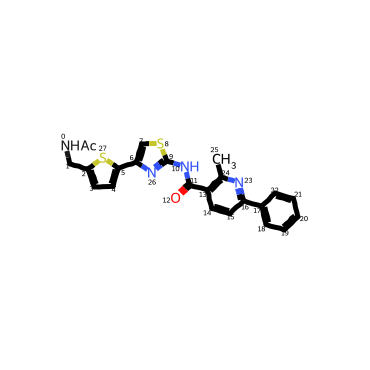 CC(=O)NCc1ccc(-c2csc(NC(=O)c3ccc(-c4ccccc4)nc3C)n2)s1